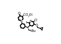 CCOC(=O)c1cn(-c2cccc([C@H](CC(C)(C)C)c3cc(OCC4CC4)c(Cl)nc3I)c2)ccc1=O